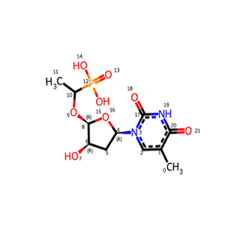 Cc1cn([C@H]2C[C@@H](O)[C@@H](OC(C)P(=O)(O)O)O2)c(=O)[nH]c1=O